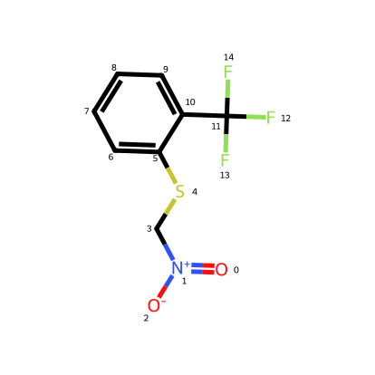 O=[N+]([O-])CSc1ccccc1C(F)(F)F